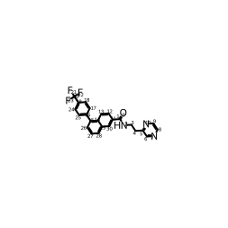 O=C(NCCc1cnccn1)c1ccc2c(-c3ccc(C(F)(F)F)cc3)cccc2c1